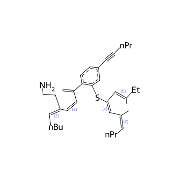 C=C(/C=C\C(=C/CCCC)CCN)c1ccc(C#CCCC)cc1SC(/C=C(\C)CC)=C/C(C)=C\CCC